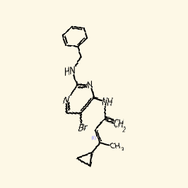 C=C(/C=C(\C)C1CC1)Nc1nc(NCc2ccccc2)ncc1Br